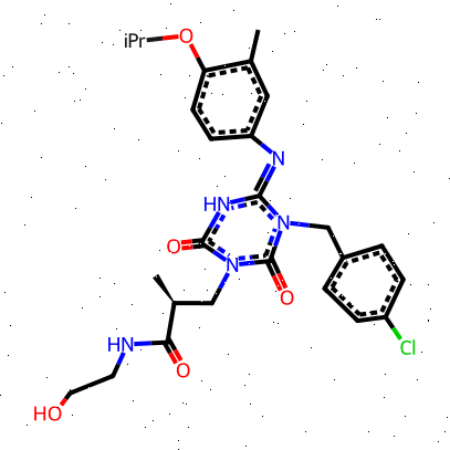 Cc1cc(/N=c2\[nH]c(=O)n(C[C@H](C)C(=O)NCCO)c(=O)n2Cc2ccc(Cl)cc2)ccc1OC(C)C